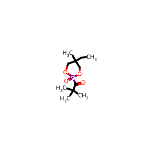 CCC1(C)COP(=O)(C(=O)C(C)(C)C)OC1